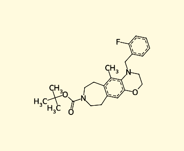 Cc1c2c(cc3c1N(Cc1ccccc1F)CCO3)CCN(C(=O)OC(C)(C)C)CC2